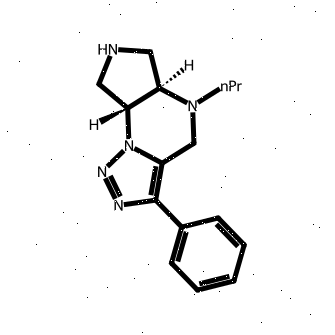 CCCN1Cc2c(-c3ccccc3)nnn2[C@@H]2CNC[C@H]21